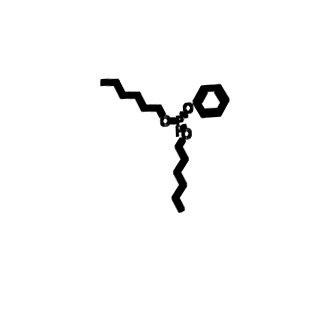 CCCCCCO[PH](=O)OCCCCCC.c1ccccc1